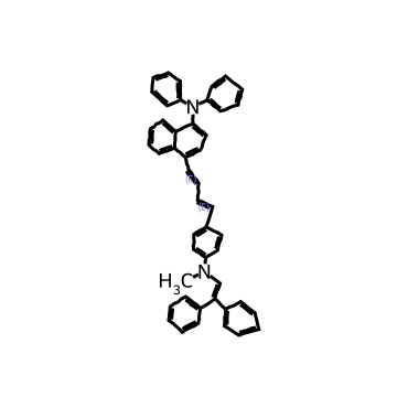 CN(C=C(c1ccccc1)c1ccccc1)c1ccc(/C=C/C=C/c2ccc(N(c3ccccc3)c3ccccc3)c3ccccc23)cc1